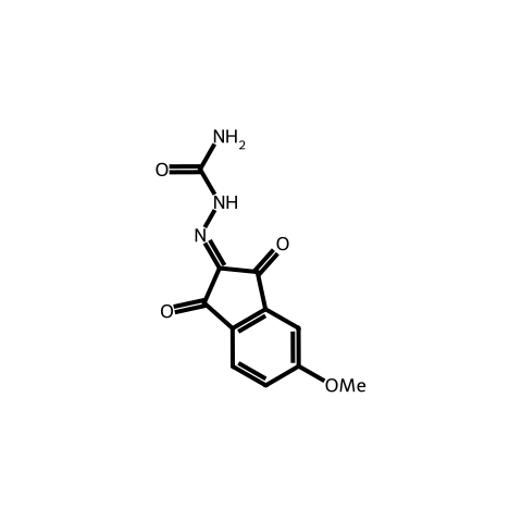 COc1ccc2c(=O)c(=NNC(N)=O)c(=O)c2c1